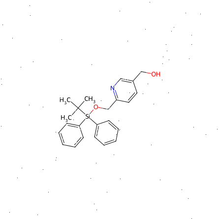 CC(C)(C)[Si](OCc1ccc(CO)cn1)(c1ccccc1)c1ccccc1